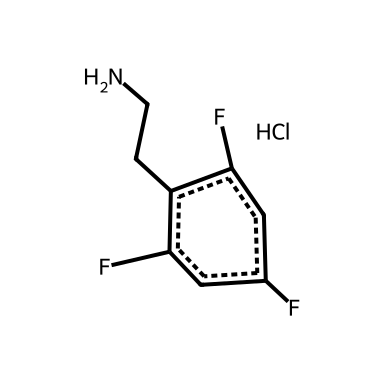 Cl.NCCc1c(F)cc(F)cc1F